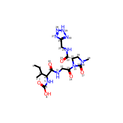 CCC(C)C(NC(=O)O)C(=O)NCC(=O)N1C(=O)N(C)C[C@H]1C(=O)NCc1nn[nH]n1